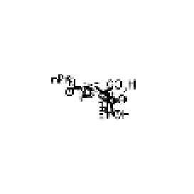 CCCOC(=O)N1CCC(SC2=C(C(=O)O)N3C(=O)[C@@H]([C@@H](O)CC)[C@H]3S2)C1